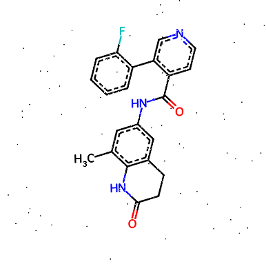 Cc1cc(NC(=O)c2ccncc2-c2ccccc2F)cc2c1NC(=O)CC2